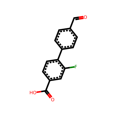 O=Cc1ccc(-c2ccc(C(=O)O)cc2F)cc1